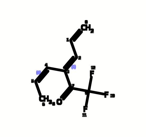 C=C/C=C(\C=C/C)C(=O)C(F)(F)F